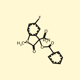 CN1C(=O)C(OC(=O)c2ccccc2)(C(N)=O)c2cc(F)ccc21